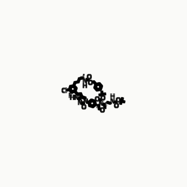 C[C@@H](CCCc1cc(Cl)c(F)c(-c2cc3cn(-c4ccc([C@@H]5COC[C@@H](CCNC(=O)OC(C)(C)C)N5C(=O)OC(C)(C)C)cc4)c(=O)nc3[nH]2)c1)NC(=O)OCc1ccccc1